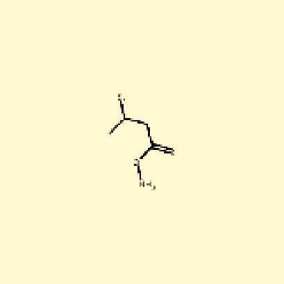 C=C(CC(C)CC)ON